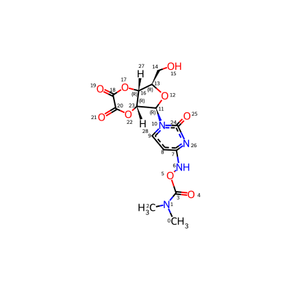 CN(C)C(=O)ONc1ccn([C@@H]2O[C@H](CO)[C@H]3OC(=O)C(=O)O[C@H]32)c(=O)n1